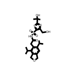 CC(C)c1cc2c(c(C(C)C)c1CC(=O)NS(=O)(=O)c1sc(C(C)(C)O)nc1CO)COC2